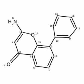 Nc1cc(=O)c2cccc(-c3ccccc3)c2o1